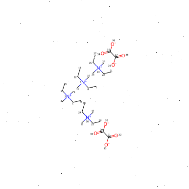 CC[N+](C)(C)CC.CC[N+](C)(C)CC.CC[N+](C)(C)CC.CC[N+](C)(C)CC.O=C([O-])C(=O)[O-].O=C([O-])C(=O)[O-]